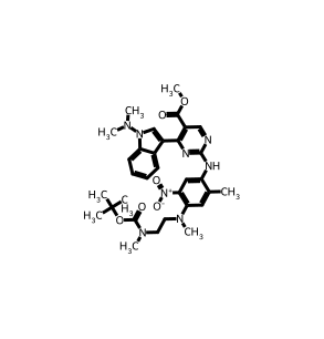 COC(=O)c1cnc(Nc2cc([N+](=O)[O-])c(N(C)CCN(C)C(=O)OC(C)(C)C)cc2C)nc1-c1cn(N(C)C)c2ccccc12